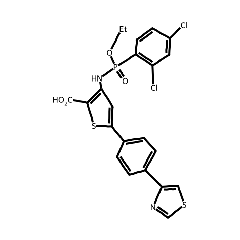 CCOP(=O)(Nc1cc(-c2ccc(-c3cscn3)cc2)sc1C(=O)O)c1ccc(Cl)cc1Cl